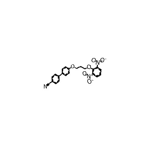 N#Cc1ccc(-c2ccc(OCCCOc3c([N+](=O)[O-])cccc3[N+](=O)[O-])cc2)cc1